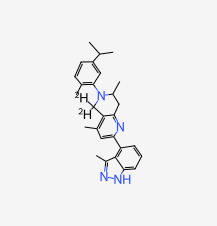 [2H]C1([2H])c2c(C)cc(-c3cccc4[nH]nc(C)c34)nc2CC(C)N1c1cc(C(C)C)ccc1C